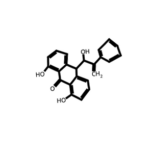 C=C(c1ccccc1)C(O)C1c2cccc(O)c2C(=O)c2c(O)cccc21